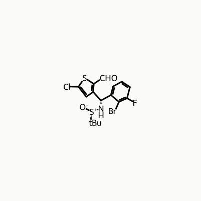 CC(C)(C)[S@@+]([O-])N[C@H](c1cc(Cl)sc1C=O)c1cccc(F)c1Br